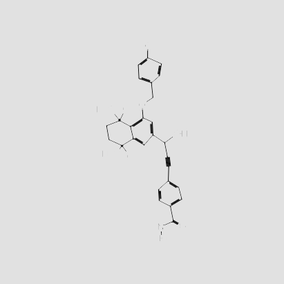 CCNC(=O)c1ccc(C#CC(O)c2cc(OCc3ccc(C)cc3)c3c(c2)C(C)(C)CCC3(C)C)cc1